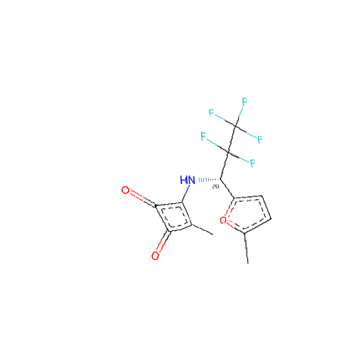 Cc1ccc([C@H](Nc2c(C)c(=O)c2=O)C(F)(F)C(F)(F)F)o1